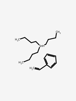 C=Cc1ccccc1.CCC[CH2][SnH]([CH2]CCC)[CH2]CCC